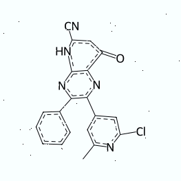 Cc1cc(-c2nc3c(=O)cc(C#N)[nH]c3nc2-c2ccccc2)cc(Cl)n1